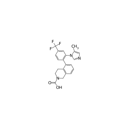 Cc1cncn1-c1cc(C(F)(F)F)ccc1-c1cccc2c1CCN(C(=O)O)C2